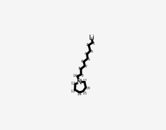 [Li][CH2]CCCCCCCCCN1CCCCCC1